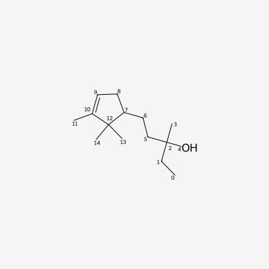 CCC(C)(O)CCC1CC=C(C)C1(C)C